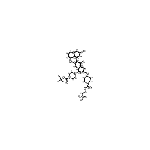 CC(C)(C)OC(=O)N1CCN(c2nc(OC3CCN(C(=O)OCC[Si](C)(C)C)CC3)nc3c(F)c(-c4cc(O)cc5ccccc45)c(Cl)cc23)CC1